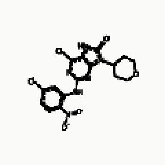 O=c1[nH]c2c(Cl)nc(Nc3cc(Cl)ccc3[N+](=O)[O-])nc2n1C1CCOCC1